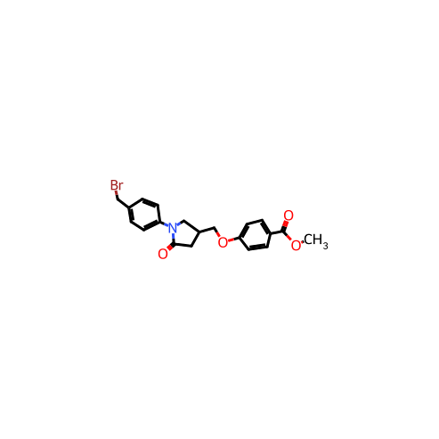 COC(=O)c1ccc(OCC2CC(=O)N(c3ccc(CBr)cc3)C2)cc1